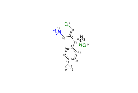 Cc1ccc(C(C)/C(=C/Cl)CN)cc1.Cl